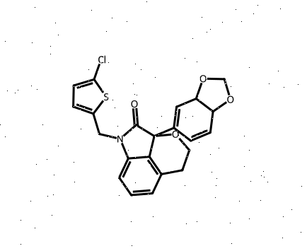 O=C1N(Cc2ccc(Cl)s2)c2cccc3c2C1(C1=CC2OCOC2C=C1)OCC3